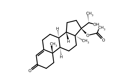 CC(=O)O[C@]1([C@H](C)O)CC[C@H]2[C@@H]3CCC4=CC(=O)CC[C@@]4(C)[C@@H]3CC[C@@]21C